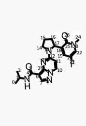 CC(C)NC(=O)c1cnn2ccc(N3CCCC3c3cc(F)cn(C)c3=O)nc12